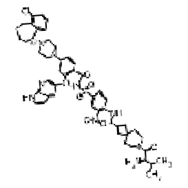 CC(C)C(N)C(=O)N1CCC2(CC1)CC(CNc1ccc(S(=O)(=O)NC(=O)c3ccc(N4CCN([C@@H]5CCCCc6c(Cl)cccc65)CC4)cc3Oc3cnc4[nH]ccc4c3)cc1[N+](=O)[O-])C2